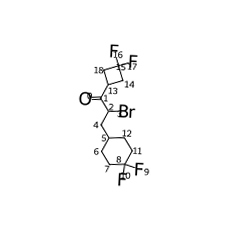 O=C(C(Br)CC1CCC(F)(F)CC1)C1CC(F)(F)C1